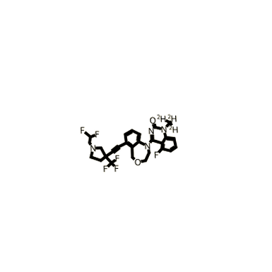 [2H]C([2H])([2H])n1c(=O)nc(N2CCOCc3c(C#CC4(C(F)(F)F)CCN(CC(F)F)C4)cccc32)c2c(F)cccc21